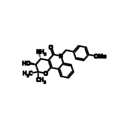 COc1ccc(Cn2c(=O)c3c(c4ccccc42)OC(C)(C)[C@@H](O)[C@@H]3N)cc1